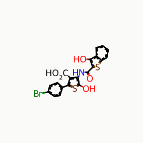 O=C(Nc1c(O)sc(-c2ccc(Br)cc2)c1C(=O)O)c1sc2ccccc2c1O